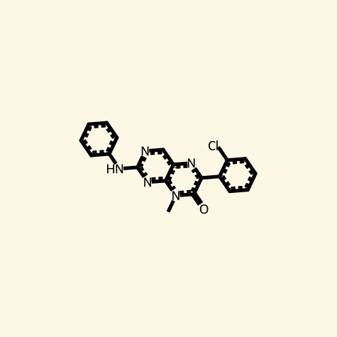 Cn1c(=O)c(-c2ccccc2Cl)nc2cnc(Nc3ccccc3)nc21